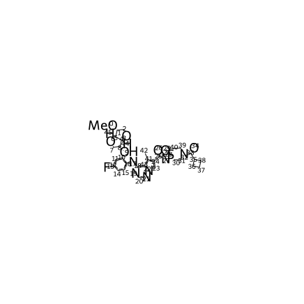 CO[C@@H]1CO[C@H]2[C@@H]1OC[C@H]2Oc1cc(F)ccc1Nc1ncnn2cc(C(=O)N=S3(=O)CCN(C(=O)C4CCC4)CC3)c(C)c12